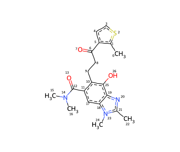 Cc1sccc1C(=O)CCc1c(C(=O)N(C)C)cc2c(nc(C)n2C)c1O